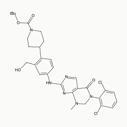 CN1CN(c2c(Cl)cccc2Cl)C(=O)c2cnc(Nc3ccc(C4CCN(C(=O)OC(C)(C)C)CC4)c(CO)c3)nc21